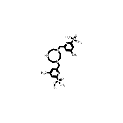 CCOP(C)(=O)c1cc(C)cc(CN2CCNCCN(Cc3cc(C)cc(P(C)(C)=O)n3)CC2)n1